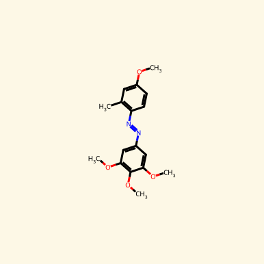 COc1ccc(N=Nc2cc(OC)c(OC)c(OC)c2)c(C)c1